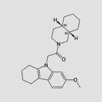 COc1ccc2c3c(n(CC(=O)N4CC[C@@H]5CCCC[C@@H]5C4)c2c1)CCCC3